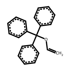 C=COC(c1ccccc1)(c1ccccc1)c1ccccc1